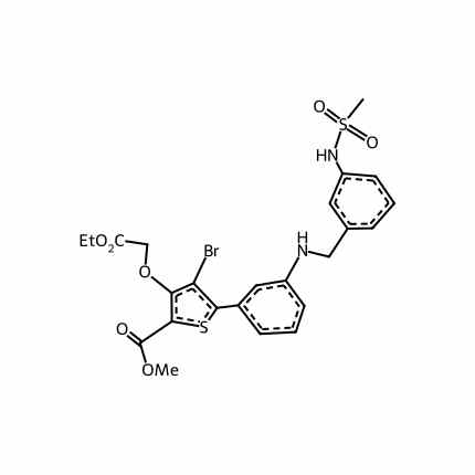 CCOC(=O)COc1c(C(=O)OC)sc(-c2cccc(NCc3cccc(NS(C)(=O)=O)c3)c2)c1Br